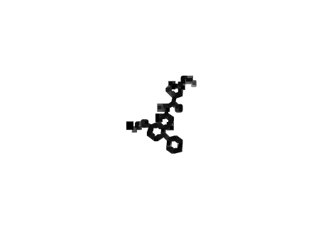 COc1ccc(-c2ccccc2)c2ncc(NC(=O)c3cnn(C)c3)nc12